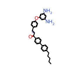 CCCCCc1ccc(-c2ccc(C(=O)/C=C/c3ccc(Oc4cc(N)cc(N)c4)cc3)cc2)cc1